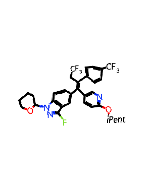 CCC[C@H](C)Oc1ccc(/C(=C(/CC(F)(F)F)c2ccc(C(F)(F)F)cc2)c2ccc3c(c2)c(F)nn3C2CCCCO2)cn1